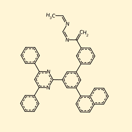 C=C(/N=C\N=C/C)c1cccc(-c2cc(-c3nc(-c4ccccc4)cc(-c4ccccc4)n3)cc(-c3cccc4ccccc34)c2)c1